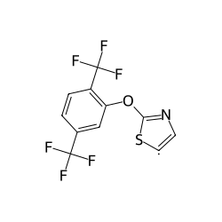 FC(F)(F)c1ccc(C(F)(F)F)c(Oc2nc[c]s2)c1